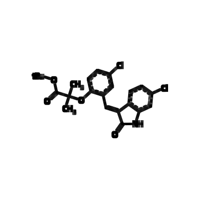 CC(C)(C)OC(=O)C(C)(C)Oc1ccc(Cl)cc1/C=C1/C(=O)Nc2cc(Cl)ccc21